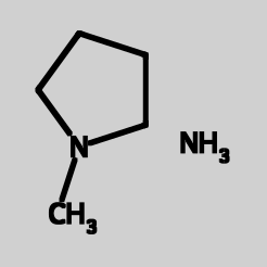 CN1CCCC1.N